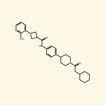 Cc1ncccc1N1CC(C(=O)Nc2ccc(C3CCN(C(=O)CC4CCCCC4)CC3)cc2)C1